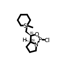 C[Si]1(C[C@H]2OP(Cl)N3CCC[C@@H]23)CCCCC1